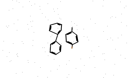 Cc1ccc(S)cc1.c1ccc(-c2ccccc2)cc1